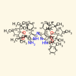 Cc1ccccc1C(=O)NC1=N/C(=N\c2[nH]c(N)c(C(=O)OC3C(C(C)(C)C)CC(C)CC3C(C)(C)C)c2-c2ccccc2)C(c2ccccc2)=C1C(=O)OC1C(C(C)(C)C)CC(C)CC1C(C)(C)C